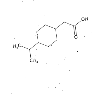 CC(C)C1CCC(CC(=O)O)CC1